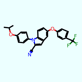 CC(C)Oc1ccc(-n2c(C#N)cc3cc(Oc4ccc(C(F)(F)F)cc4)ccc32)cc1